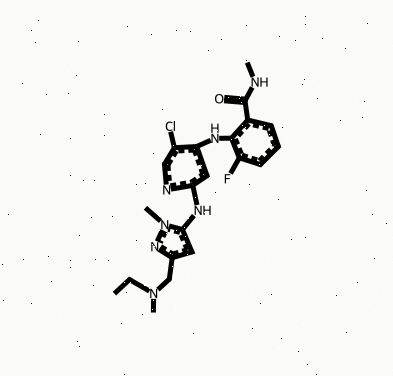 CCN(C)Cc1cc(Nc2cc(Nc3c(F)cccc3C(=O)NC)c(Cl)cn2)n(C)n1